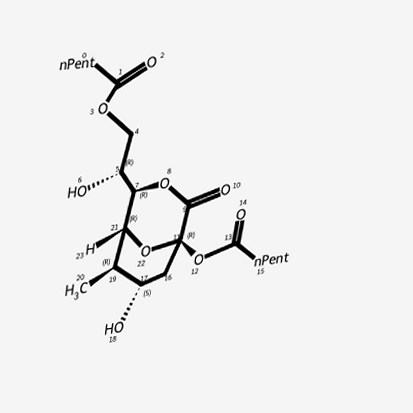 CCCCCC(=O)OC[C@@H](O)[C@H]1OC(=O)[C@]2(OC(=O)CCCCC)C[C@H](O)[C@@H](C)[C@H]1O2